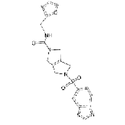 O=C(NCc1ncco1)N1CC2=C(C1)CN(S(=O)(=O)c1ccc3ncsc3c1)C2